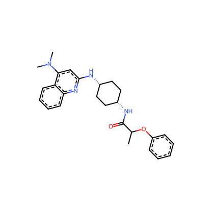 CC(Oc1ccccc1)C(=O)N[C@H]1CC[C@@H](Nc2cc(N(C)C)c3ccccc3n2)CC1